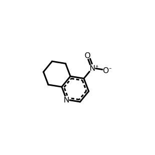 O=[N+]([O-])c1ccnc2c1CCCC2